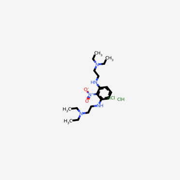 CCN(CC)CCNc1cccc(NCCN(CC)CC)c1[N+](=O)[O-].Cl.Cl